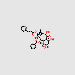 CC1=C2[C@@H](O)C(=O)[C@@]3(C)C([C@@H]4CO[C@@H]4C[C@@H]3O)[C@H](OC(=O)c3ccccc3)[C@](O)(C[C@@H]1OC(=O)CCc1ccccc1)C2(C)C